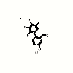 CCOc1ccc(-c2cc(C)c(F)c(F)c2F)c(CCl)c1